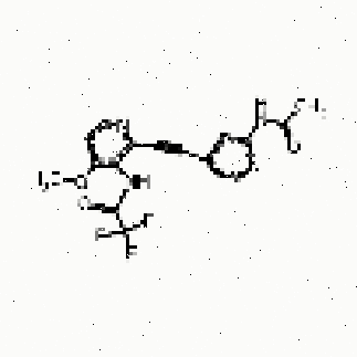 COc1ccnc(C#Cc2ccnc(NC(C)=O)c2)c1NC(=O)C(F)(F)F